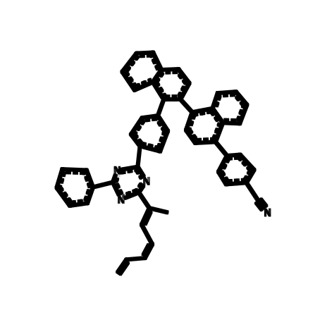 C=C/C=C\C=C(/C)c1nc(-c2ccccc2)nc(-c2ccc(-c3c(-c4ccc(-c5ccc(C#N)cc5)c5ccccc45)ccc4ccccc34)cc2)n1